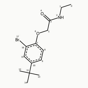 CCNC(=O)COc1ccc(C(C)(C)C)cc1Br